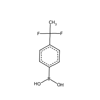 CC(F)(F)c1ccc(B(O)O)cc1